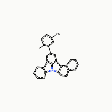 Cc1ccc(C#N)cc1-c1cc2c3ccccc3n3c4ccc5ccccc5c4c(c1)c23